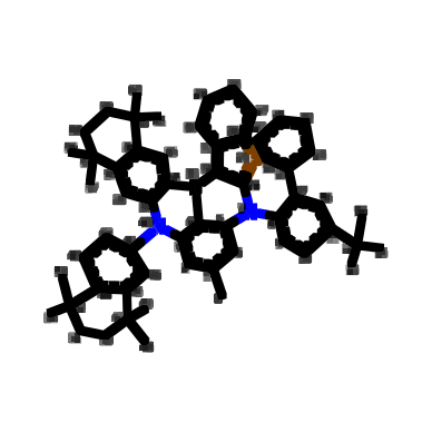 Cc1cc2c3c(c1)N(c1ccc(C(C)(C)C)cc1-c1ccccc1)c1sc4ccccc4c1B3c1cc3c(cc1N2c1ccc2c(c1)C(C)(C)CCC2(C)C)C(C)(C)CCC3(C)C